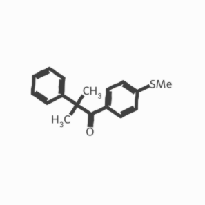 CSc1ccc(C(=O)C(C)(C)c2ccccc2)cc1